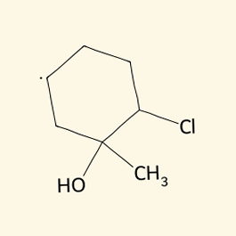 CC1(O)C[CH]CCC1Cl